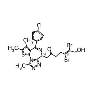 Cc1sc2c(c1C)C(c1ccc(Cl)cc1)=N[C@@H](CC(=O)CC/C(Br)=C(\Br)CO)c1nnc(C)n1-2